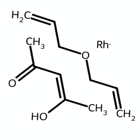 C=CCOCC=C.CC(=O)/C=C(/C)O.[Rh]